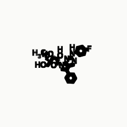 COC[C@]1(CO)O[C@@H](n2cc(-c3ccccc3)c3cnc(Nc4ccc(F)cc4)nc32)[C@H](O)[C@@H]1O